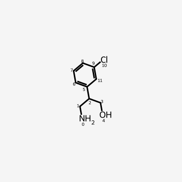 NCC(CO)c1cccc(Cl)c1